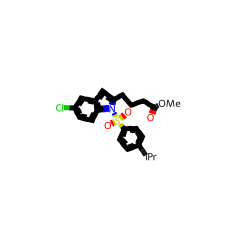 COC(=O)CCCc1cc2cc(Cl)ccc2n1S(=O)(=O)c1ccc(C(C)C)cc1